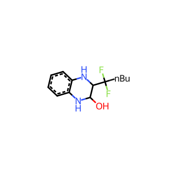 CCCCC(F)(F)C1Nc2ccccc2NC1O